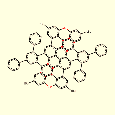 CC(C)(C)c1ccc2c(c1)Oc1cc(C(C)(C)C)cc3c1B2c1cc2c(-c4c(-c5ccccc5)cc(-c5ccccc5)cc4-c4ccccc4)cc4c5c(cc6c(-c7c(-c8ccccc8)cc(-c8ccccc8)cc7-c7ccccc7)cc-3c1c6c25)B1c2ccc(C(C)(C)C)cc2Oc2cc(C(C)(C)C)cc-4c21